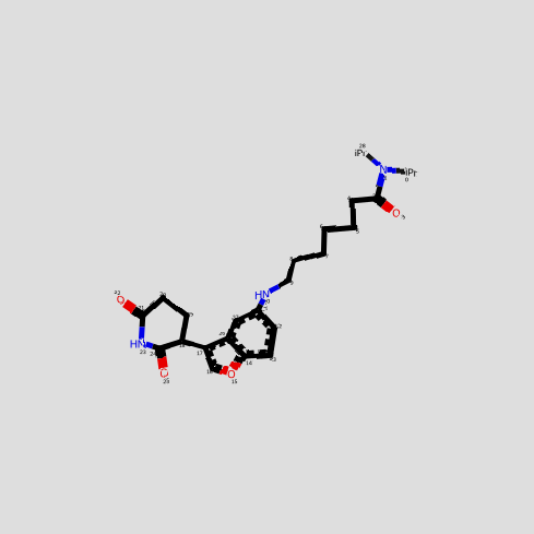 CC(C)N(C(=O)CCCCCCNc1ccc2occ(C3CCC(=O)NC3=O)c2c1)C(C)C